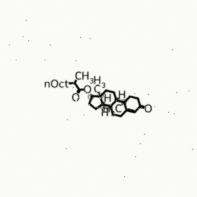 CCCCCCCCC(C)C(=O)O[C@H]1CC[C@H]2[C@@H]3CCC4=CC(=O)CC[C@]4(C)[C@H]3CC[C@]12C